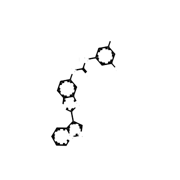 Cc1cc(NC(=O)Nc2ccc3oc(-c4cnn5ccccc45)nc3c2)cc(C(F)(F)F)c1